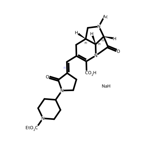 CCOC(=O)N1CCC(N2CC/C(=C\C3=C(C(=O)O)N4C(=O)[C@@H]5[C@H]4[C@H](C3)CN5C(C)=O)C2=O)CC1.[NaH]